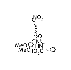 COc1cc2c(cc1OC)CN(C(=O)C(C)NC(CCc1ccccc1)C(=O)O)C(C(=O)OCCSCCO[N+](=O)[O-])C2